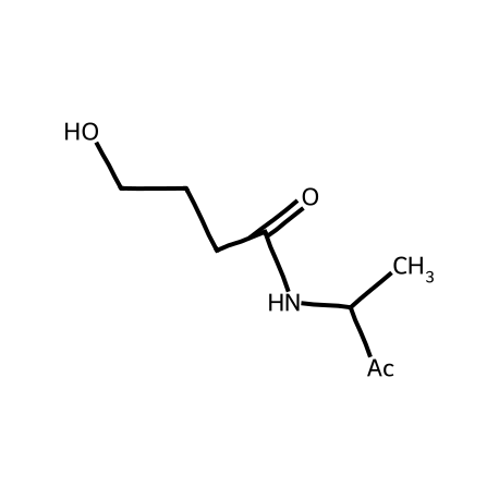 CC(=O)C(C)NC(=O)CCCO